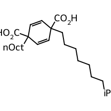 CCCCCCCCC1(C(=O)O)C=CC(CCCCCCCC(C)C)(C(=O)O)C=C1